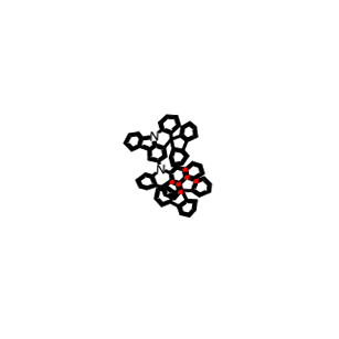 c1ccc(-c2cccc(-c3ccccc3N(c3ccc4c(c3)C3(c5ccccc5-c5ccccc53)c3ccccc3-4)c3cc4c5c(c3)c3ccccc3n5-c3ccccc3C43c4ccccc4-c4ccccc43)c2)cc1